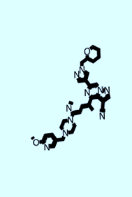 C=N/C(=C\C=C(/C)c1nc(-c2cnn(CC3CCCCO3)c2)cn2ncc(C#N)c12)N1CCN(Cc2ccc(OC)nc2)CC1